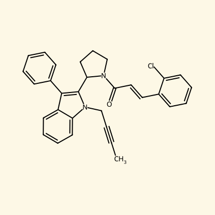 CC#CCn1c(C2CCCN2C(=O)C=Cc2ccccc2Cl)c(-c2ccccc2)c2ccccc21